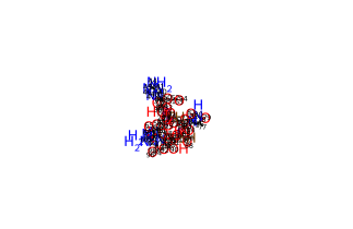 C=C1N=C(N)C(C)=CN1[C@@H]1O[C@H](COP(=O)(S)OC2[C@@H](COP(=O)(S)OC3[C@@H](COP(=O)(O)OC4[C@@H](C)O[C@@H](n5cnc6c(N)ncnc65)[C@H]4OCCOC)O[C@@H](n4cc(C)c(N)nc4=O)[C@H]3OCCOC)O[C@@H](n3cc(C)c(=O)[nH]c3=O)[C@H]2OCCOC)C(O)[C@@H]1OCCOC